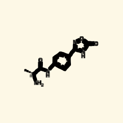 C[C@@H](N)C(=O)Nc1ccc(-c2noc(=O)[nH]2)cc1